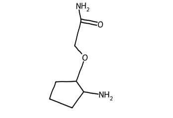 NC(=O)COC1CCCC1N